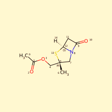 CC(=O)OC[C@@]1(C)CN2C(=O)C[C@@H]2S1